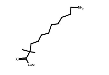 COC(=O)C(C)(C)CCCCCCCCCN